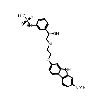 COc1ccc2c(c1)[nH]c1cc(OCCNC[C@H](O)c3cccc(NS(C)(=O)=O)c3)ccc12